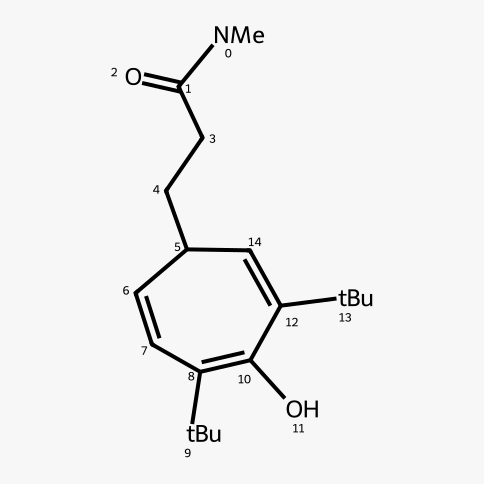 CNC(=O)CCC1C=CC(C(C)(C)C)=C(O)C(C(C)(C)C)=C1